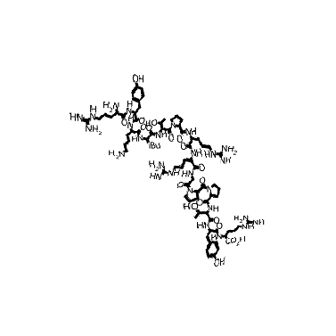 CCC(C)C(NC(=O)C(CCCCN)NC(=O)C(Cc1ccc(O)cc1)NC(=O)C(N)CCCNC(=N)N)C(=O)NC(C(=O)N1CCCC1C(=O)NC(CCCNC(=N)N)C(=O)NC(CCCNC(=N)N)C(=O)NCC(=O)N1CCCC1C(=O)N1CCCC1C(=O)NC(C(=O)NC(Cc1ccc(O)cc1)C(=O)NC(CCCNC(=N)N)C(=O)O)C(C)O)C(C)O